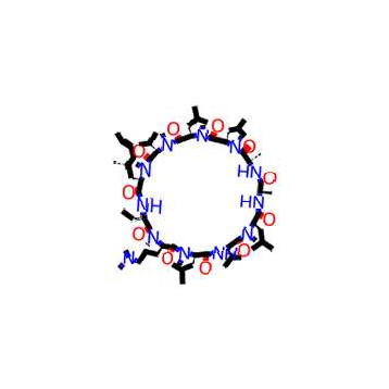 C/C=C/C[C@@H](C)C[C@H]1C(=O)N[C@@H](CC)C(=O)N(C)[C@H](CCCN(C)C)C(=O)N(C)[C@@H](CC(C)C)C(=O)N[C@H](C(C)C)C(=O)N(C)[C@H](CC(C)C)C(=O)N[C@H](C)C(=O)N[C@@H](C)C(=O)N(C)[C@@H](CC(C)C)C(=O)N(C)[C@@H](CC(C)C)C(=O)N(C)[C@@H](C(C)C)C(=O)N1C